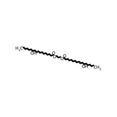 CCCCCCC(O)C/C=C/CCCCCCCC(=O)OCCCOC(=O)CCCCCCC/C=C/CC(O)CCCCCC